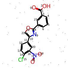 O=C(O)c1cccc(-c2nc(-c3ccc(Cl)c([N+](=O)[O-])c3)co2)c1